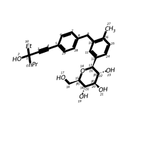 CCCC(O)(C#Cc1ccc(Cc2cc([C@@H]3O[C@H](CO)[C@@H](O)[C@H](O)[C@H]3O)ccc2C)cc1)CC